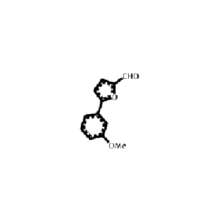 COc1cccc(-c2ccc(C=O)o2)c1